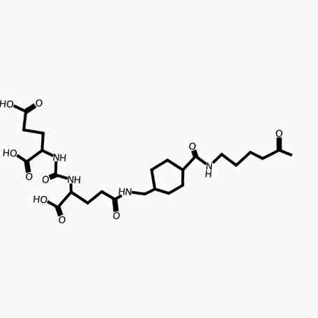 CC(=O)CCCCNC(=O)C1CCC(CNC(=O)CCC(NC(=O)NC(CCC(=O)O)C(=O)O)C(=O)O)CC1